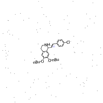 CCCCOc1cc2c(cc1OCCCC)C(/C=C/c1ccc(Cl)cc1)NCC2